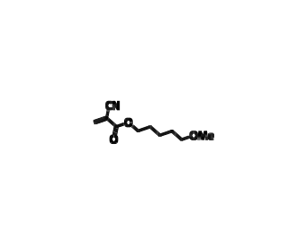 C=C(C#N)C(=O)OCCCCCOC